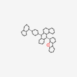 c1ccc2c(-c3ccc(-c4c5ccccc5c(-c5cccc6c5oc5ccccc56)c5c4ccc4ccccc45)cc3)cccc2c1